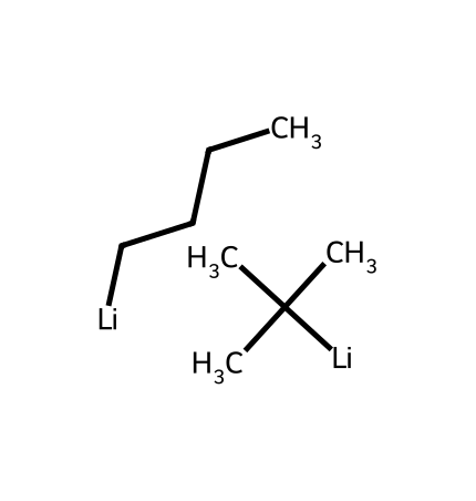 [Li][CH2]CCC.[Li][C](C)(C)C